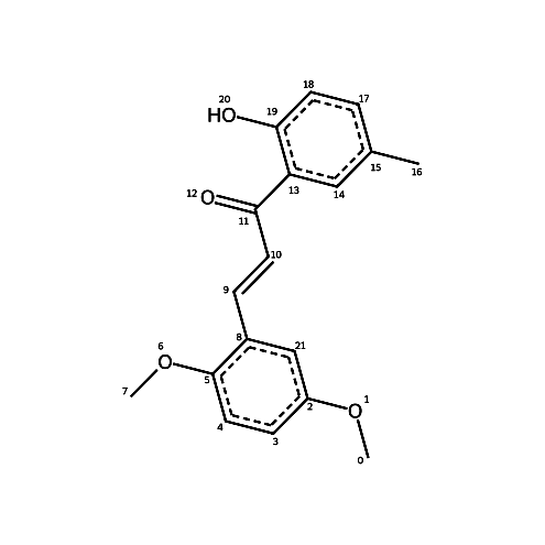 COc1ccc(OC)c(C=CC(=O)c2cc(C)ccc2O)c1